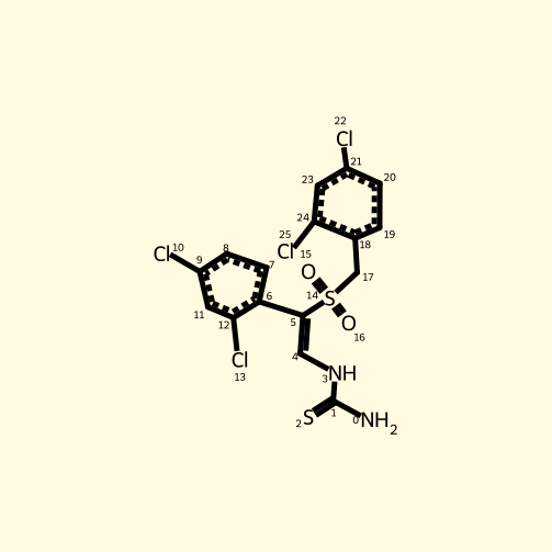 NC(=S)NC=C(c1ccc(Cl)cc1Cl)S(=O)(=O)Cc1ccc(Cl)cc1Cl